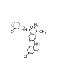 CC(C)c1cc(Nc2ccc(Cl)cc2F)ncc1C(=O)NCC1CCOC(=O)C1